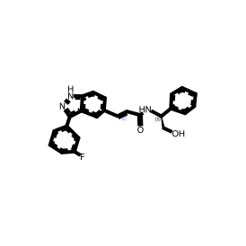 O=C(/C=C/c1ccc2[nH]nc(-c3cccc(F)c3)c2c1)N[C@H](CO)c1ccccc1